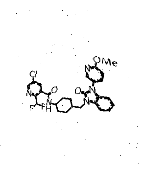 COc1ccc(-n2c(=O)n(CC3CCC(NC(=O)c4cc(Cl)cnc4C(F)F)CC3)c3ccccc32)cn1